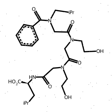 CC(C)C[C@H](NC(=O)CN(CCO)C(=O)CN(CCO)C(=O)CN(CC(C)C)C(=O)c1ccccc1)C(=O)O